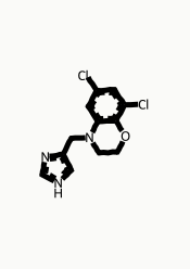 Clc1cc(Cl)c2c(c1)N(Cc1c[nH]cn1)CCO2